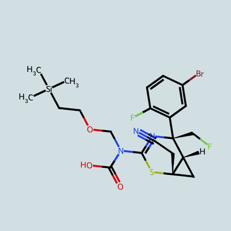 C[Si](C)(C)CCOCN(C(=O)O)C1=N[C@](CF)(c2cc(Br)ccc2F)[C@@H]2C[C@]2(CC#N)S1